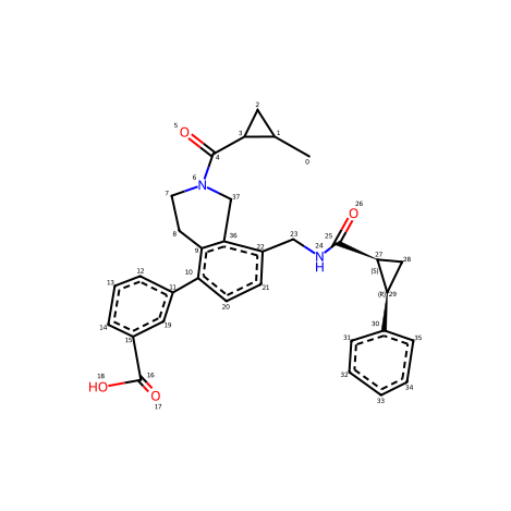 CC1CC1C(=O)N1CCc2c(-c3cccc(C(=O)O)c3)ccc(CNC(=O)[C@H]3C[C@H]3c3ccccc3)c2C1